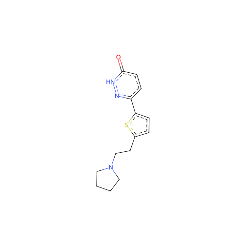 O=c1ccc(-c2ccc(CCN3CCCC3)s2)n[nH]1